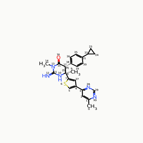 Cc1cc(-c2csc([C@@]3(C)NC(=N)N(C)C(=O)[C@@H]3c3ccc(C4CC4)cc3)c2)ncn1